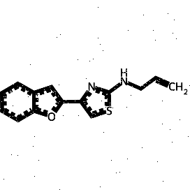 C=CCNc1nc(-c2cc3ccccc3o2)cs1